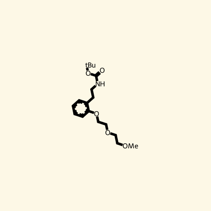 COCCOCCOc1ccccc1CCNC(=O)OC(C)(C)C